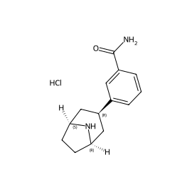 Cl.NC(=O)c1cccc([C@H]2C[C@H]3CC[C@@H](C2)N3)c1